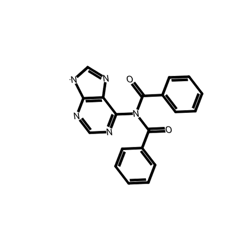 O=C(c1ccccc1)N(C(=O)c1ccccc1)c1ncnc2c1N=C[N]2